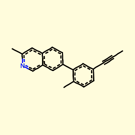 CC#Cc1ccc(C)c(-c2ccc3cc(C)ncc3c2)c1